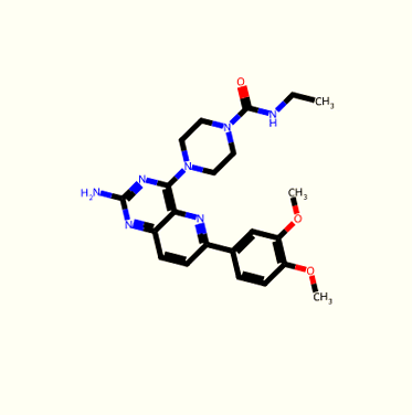 CCNC(=O)N1CCN(c2nc(N)nc3ccc(-c4ccc(OC)c(OC)c4)nc23)CC1